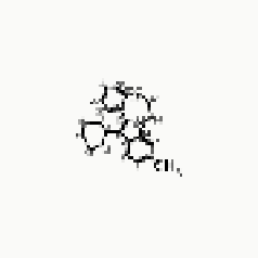 Cc1ccc2c(C3CCCCC3)c3n(c2c1)CCSc1ccccc1-3